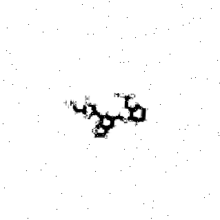 NCc1nc(-c2cc(COc3ccccc3CC(=O)O)cc3ccoc23)c[nH]1